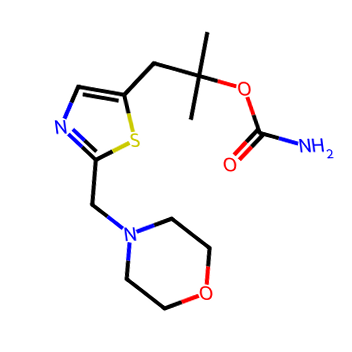 CC(C)(Cc1cnc(CN2CCOCC2)s1)OC(N)=O